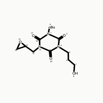 CCCCn1c(=O)n(CCCO)c(=O)n(CC2CO2)c1=O